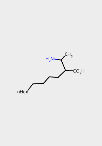 CCCCCCCCCCC(C(=O)O)C(C)N